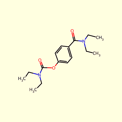 CCN(CC)C(=O)Oc1ccc(C(=O)N(CC)CC)cc1